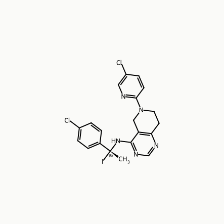 C[C@](I)(Nc1ncnc2c1CN(c1ccc(Cl)cn1)CC2)c1ccc(Cl)cc1